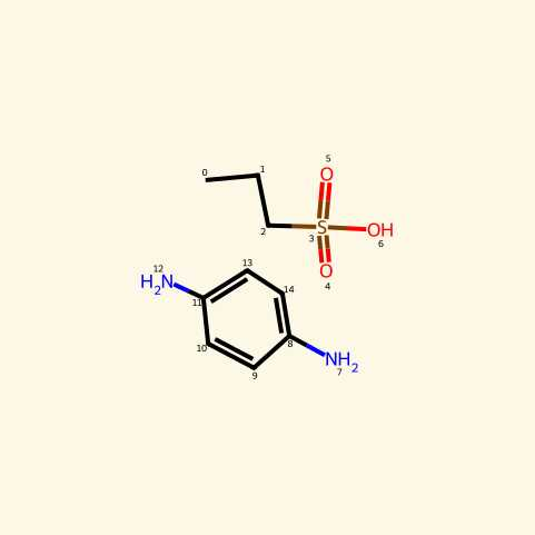 CCCS(=O)(=O)O.Nc1ccc(N)cc1